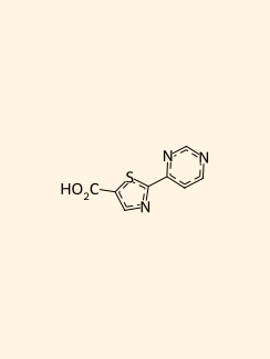 O=C(O)c1cnc(-c2ccncn2)s1